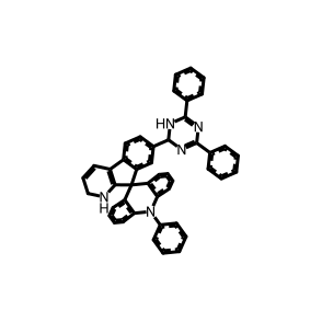 C1=CC2=C(NC1)C1(c3cc(C4N=C(c5ccccc5)N=C(c5ccccc5)N4)ccc32)c2ccccc2N(c2ccccc2)c2ccccc21